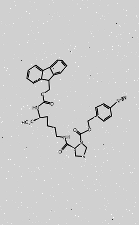 N#[N+]c1ccc(COC(=O)N2CSC[C@H]2C(=O)NCCCC[C@H](NC(=O)OCC2c3ccccc3-c3ccccc32)C(=O)O)cc1